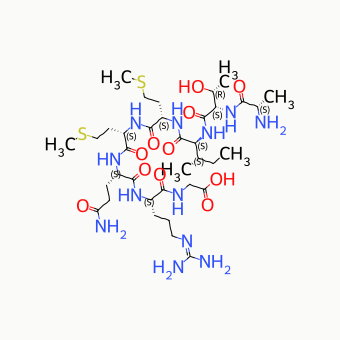 CC[C@H](C)[C@H](NC(=O)[C@@H](NC(=O)[C@H](C)N)[C@@H](C)O)C(=O)N[C@@H](CCSC)C(=O)N[C@@H](CCSC)C(=O)N[C@@H](CCC(N)=O)C(=O)N[C@@H](CCCN=C(N)N)C(=O)NCC(=O)O